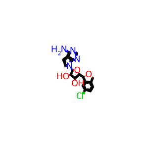 Nc1ncnc2c1ccn2C1O[C@H]([C@@H]2OCc3ccc(Cl)cc32)[C@@H](O)[C@H]1O